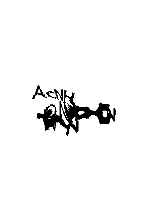 CC(=O)Nc1cc(-c2ccncc2)cc2nc(-c3ccc(C)o3)nn12